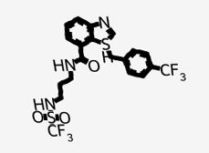 O=C(NCCCNS(=O)(=O)C(F)(F)F)c1cccc2c1[SH](Cc1ccc(C(F)(F)F)cc1)C=N2